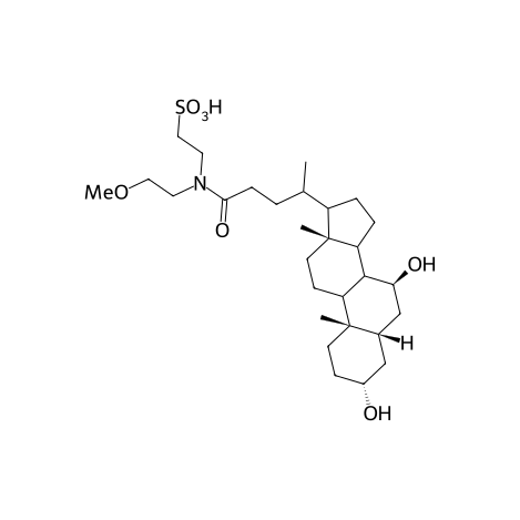 COCCN(CCS(=O)(=O)O)C(=O)CCC(C)C1CCC2C3C(CC[C@]12C)[C@@]1(C)CC[C@@H](O)C[C@H]1C[C@@H]3O